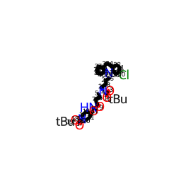 CC(C)(C)OC(=O)N(C/C=C/C(=O)NOC1CCN(C(=O)OC(C)(C)C)CC1)CCCCN1C2=CC(Cl)=CCC2=CCc2ccccc21